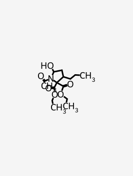 CCCC1CC(O)N(C(C)=O)C1(C(=O)OCC)C(=O)OCC